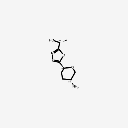 C[C@@H](O)c1nnc([C@@H]2CC[C@@H](N)CO2)o1